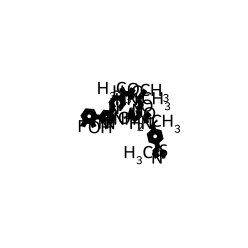 Cc1ncsc1-c1ccc([C@H](C)NC(=O)[C@@H]2C[C@@H](O)CN2C(=O)C(NC(=O)C(C)C2CCN(c3cc(-c4cccc(F)c4O)nnc3N)CC2)C(C)(C)C)cc1